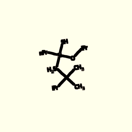 CCC[Si](S)(OC(C)C)[SiH2]C(C)(C)C(C)C